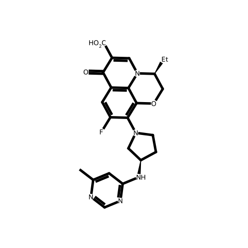 CC[C@H]1COc2c(N3CC[C@@H](Nc4cc(C)ncn4)C3)c(F)cc3c(=O)c(C(=O)O)cn1c23